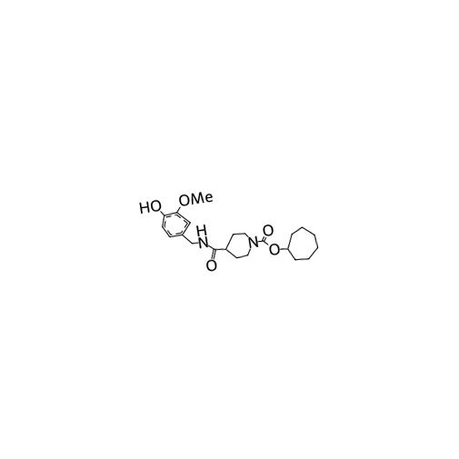 COc1cc(CNC(=O)C2CCN(C(=O)OC3CCCCCC3)CC2)ccc1O